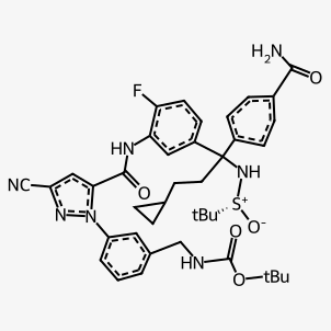 CC(C)(C)OC(=O)NCc1cccc(-n2nc(C#N)cc2C(=O)Nc2cc(C(CCC3CC3)(N[S@+]([O-])C(C)(C)C)c3ccc(C(N)=O)cc3)ccc2F)c1